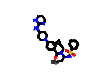 O=C(O)CC(NS(=O)(=O)c1ccccc1)N(CC1CC1)C(=O)c1ccc(N2CCC(NC3=NCCCN3)CC2)cc1